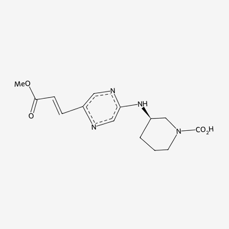 COC(=O)C=Cc1cnc(N[C@@H]2CCCN(C(=O)O)C2)cn1